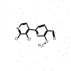 COc1nc(-c2ccnc(Cl)c2Cl)ccc1C=O